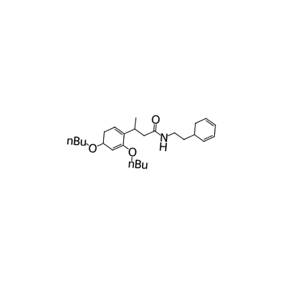 CCCCOC1=CC(OCCCC)CC=C1C(C)CC(=O)NCCC1C=CC=CC1